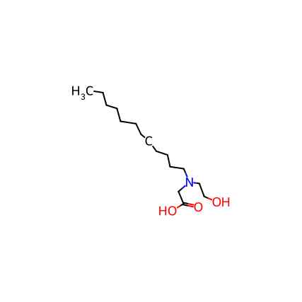 CCCCCCCCCCCCN(CCO)CC(=O)O